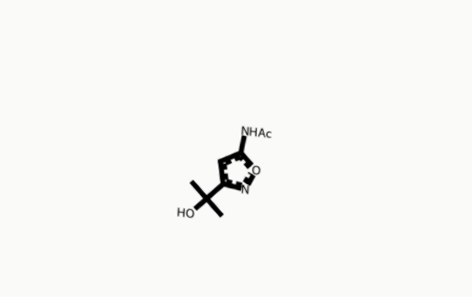 CC(=O)Nc1cc(C(C)(C)O)no1